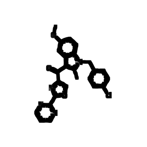 COc1ccc2c(c1)c(C(=O)c1coc(-c3ncccn3)n1)c(C)n2Cc1ccc(Cl)cc1